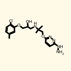 Cc1ccc(Cl)c(OCC(O)CNC(C)(C)COc2ccc(NN)nn2)c1